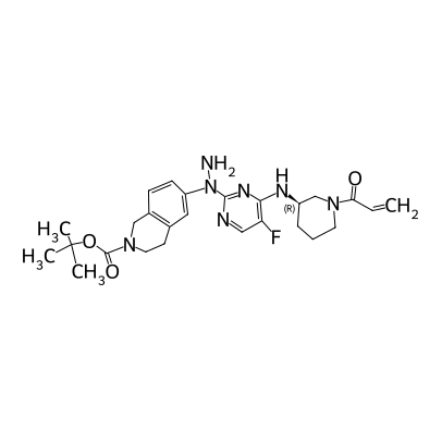 C=CC(=O)N1CCC[C@@H](Nc2nc(N(N)c3ccc4c(c3)CCN(C(=O)OC(C)(C)C)C4)ncc2F)C1